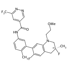 COCCN1C[C@@](C)(F)Cc2cc(F)c(-c3cc(NC(=O)c4cnnc(C(F)(F)F)c4)ccc3C)cc21